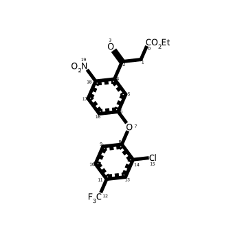 CCOC(=O)CC(=O)c1cc(Oc2ccc(C(F)(F)F)cc2Cl)ccc1[N+](=O)[O-]